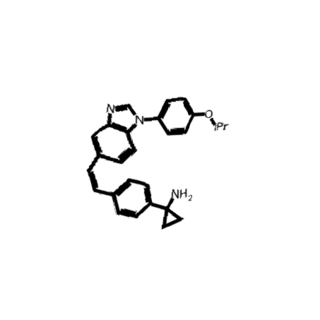 CC(C)Oc1ccc(-n2cnc3cc(/C=C\c4ccc(C5(N)CC5)cc4)ccc32)cc1